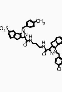 Cc1ccc(Cn2nc(C(=O)NCCCNC(=O)c3nn(Cc4ccc(C)cc4)c4c3Cc3ccc(S(=O)(=O)O)cc3-4)c3c2-c2ccccc2C3)cc1